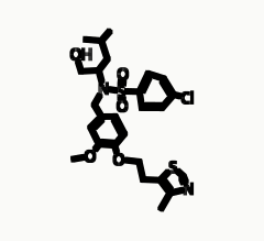 COc1cc(CN(C(CO)CC(C)C)S(=O)(=O)c2ccc(Cl)cc2)ccc1OCCc1scnc1C